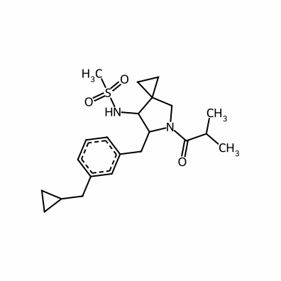 CC(C)C(=O)N1CC2(CC2)C(NS(C)(=O)=O)C1Cc1cccc(CC2CC2)c1